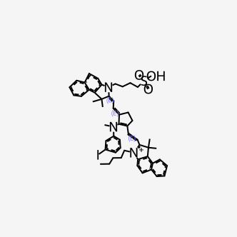 CCCCC[N+]1=C(/C=C/C2=C(N(C)c3cccc(I)c3)C(=C/C=C3/N(CCCCS(=O)(=O)O)c4ccc5ccccc5c4C3(C)C)/CC2)C(C)(C)c2c1ccc1ccccc21